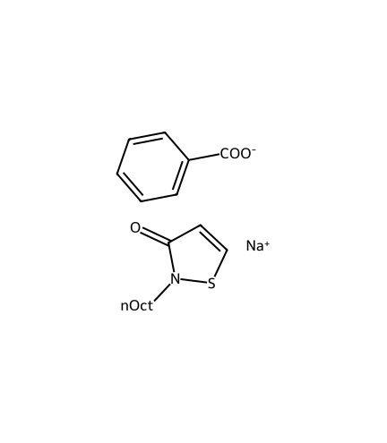 CCCCCCCCn1sccc1=O.O=C([O-])c1ccccc1.[Na+]